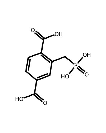 O=C(O)c1ccc(C(=O)O)c(CP(=O)(O)O)c1